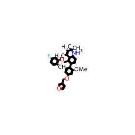 COc1cc(OCc2ccoc2)ccc1-c1ccc2c(c1COc1cc(F)ccc1C)C(C)=CC(C)(C)N2